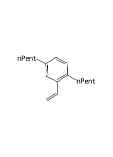 C=Cc1cc(CCCCC)ccc1CCCCC